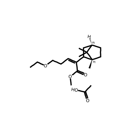 CC(=O)O.CCOCCC=C(C(=O)OC)C1C[C@H]2CC[C@@]1(C)C2(C)C